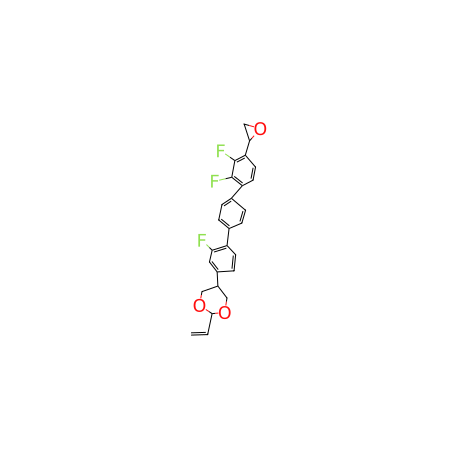 C=CC1OCC(c2ccc(-c3ccc(-c4ccc(C5CO5)c(F)c4F)cc3)c(F)c2)CO1